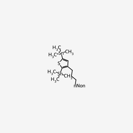 CCCCCCCCCCCCc1c[c]([Sn]([CH3])([CH3])[CH3])s[c]1[Sn]([CH3])([CH3])[CH3]